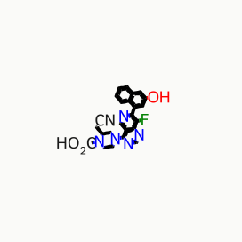 N#CCC1CN(c2ncnc3c(F)c(-c4cc(O)cc5ccccc45)ncc23)CCN1C(=O)O